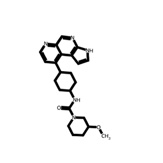 COC1CCCN(C(=O)NC2CCC(c3ccnc4cnc5[nH]ccc5c34)CC2)C1